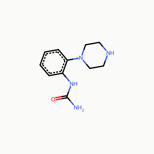 NC(=O)Nc1ccccc1N1CCNCC1